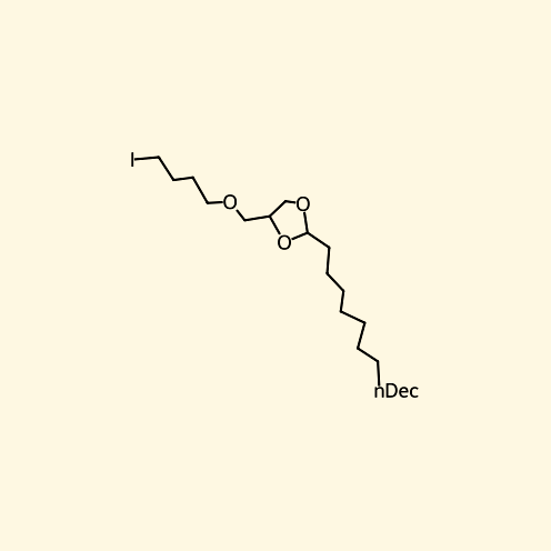 CCCCCCCCCCCCCCCCCC1OCC(COCCCCI)O1